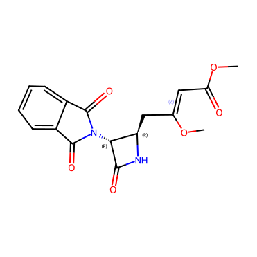 COC(=O)/C=C(/C[C@H]1NC(=O)[C@@H]1N1C(=O)c2ccccc2C1=O)OC